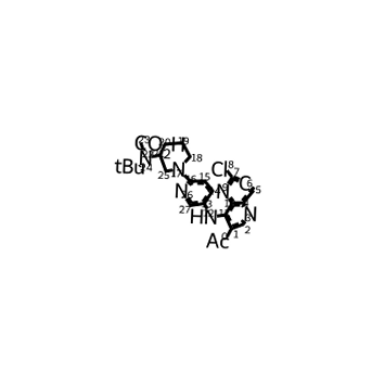 CC(=O)c1cnc2ccc(Cl)nc2c1Nc1ccc(N2CCCC(N(C(=O)O)C(C)(C)C)C2)nc1